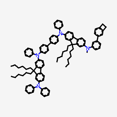 CCCCCCC1(CCCCCC)c2cc(N(C)c3cccc(-c4ccc5c(c4)CC5)c3)ccc2-c2ccc(N(c3ccccc3)c3ccc(-c4ccc(N(c5ccccc5)c5ccc6c(c5)C(CCCCCC)(CCCCCC)c5cc(N(c7ccccc7)c7ccccc7)ccc5-6)cc4)cc3)cc21